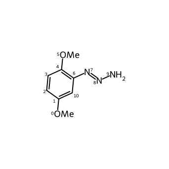 COc1ccc(OC)c(/N=N/N)c1